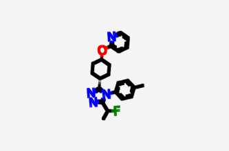 Cc1ccc(-n2c(C(C)F)nnc2[C@H]2CC[C@H](Oc3ccccn3)CC2)cc1